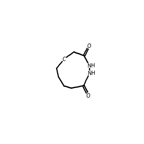 O=C1CCCCCCC(=O)NN1